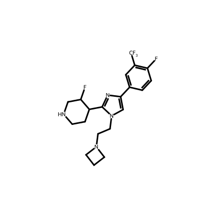 Fc1ccc(-c2cn(CCN3CCC3)c(C3CCNCC3F)n2)cc1C(F)(F)F